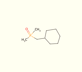 CP(C)(=O)CC1CCCCC1